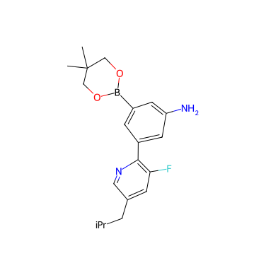 CC(C)Cc1cnc(-c2cc(N)cc(B3OCC(C)(C)CO3)c2)c(F)c1